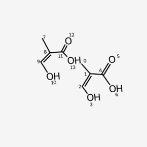 CC(=CO)C(=O)O.CC(=CO)C(=O)O